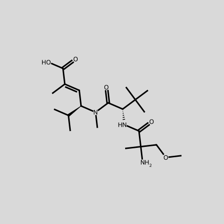 COCC(C)(N)C(=O)N[C@H](C(=O)N(C)[C@H](/C=C(\C)C(=O)O)C(C)C)C(C)(C)C